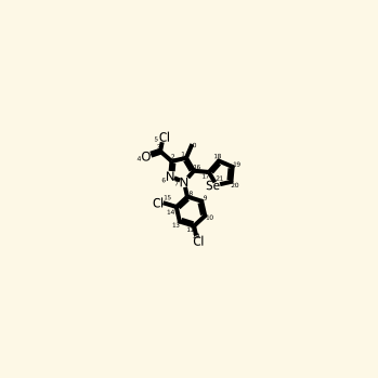 Cc1c(C(=O)Cl)nn(-c2ccc(Cl)cc2Cl)c1-c1ccc[se]1